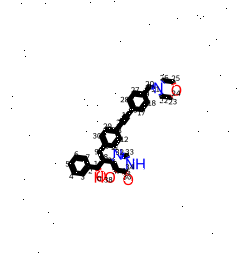 O=C(c1ccccc1)C(Cc1ccc(C#Cc2ccc(CN3CCOCC3)cc2)cc1)c1nc[nH]c(=O)c1O